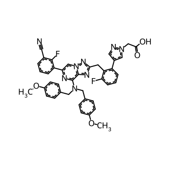 COc1ccc(CN(Cc2ccc(OC)cc2)c2nc(-c3cccc(C#N)c3F)cn3nc(Cc4c(F)cccc4-c4cnn(CC(=O)O)c4)nc23)cc1